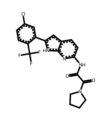 O=C(Nc1ccc2cc(-c3cc(Cl)ccc3C(F)(F)F)[nH]c2n1)C(=O)N1CCCC1